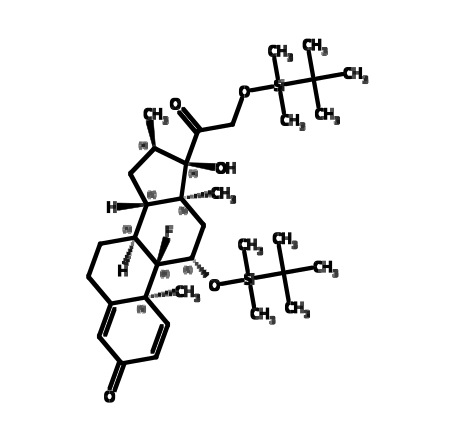 C[C@@H]1C[C@H]2[C@@H]3CCC4=CC(=O)C=C[C@]4(C)[C@@]3(F)[C@@H](O[Si](C)(C)C(C)(C)C)C[C@]2(C)[C@@]1(O)C(=O)CO[Si](C)(C)C(C)(C)C